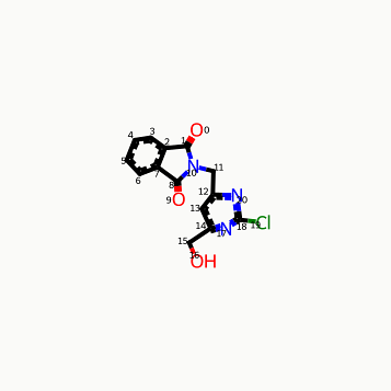 O=C1c2ccccc2C(=O)N1Cc1cc(CO)nc(Cl)n1